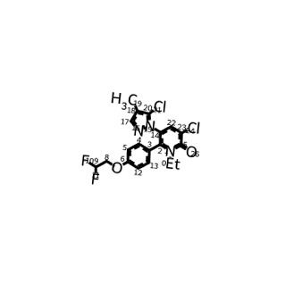 CCn1c(-c2ccc(OCC(F)F)cc2)c(-n2ncc(C)c2Cl)cc(Cl)c1=O